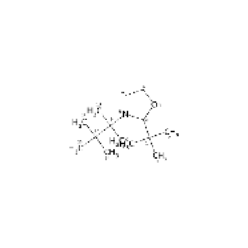 CC(C)(C)C1OCCN1C(C)(C)C(C)(C)C